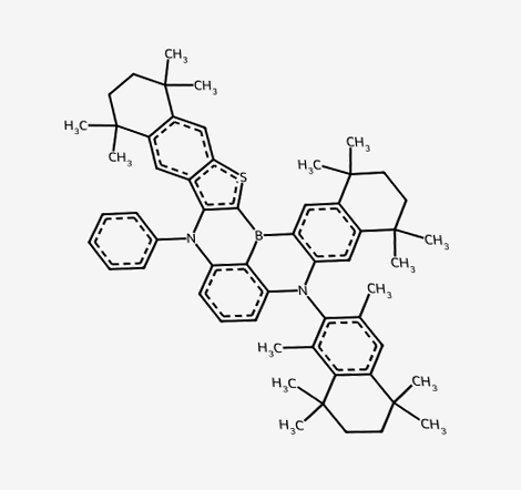 Cc1cc2c(c(C)c1N1c3cc4c(cc3B3c5sc6cc7c(cc6c5N(c5ccccc5)c5cccc1c53)C(C)(C)CCC7(C)C)C(C)(C)CCC4(C)C)C(C)(C)CCC2(C)C